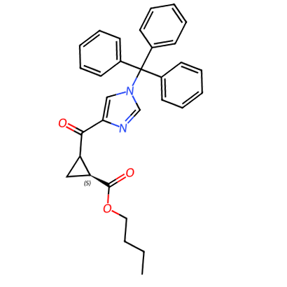 CCCCOC(=O)[C@H]1CC1C(=O)c1cn(C(c2ccccc2)(c2ccccc2)c2ccccc2)cn1